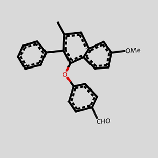 COc1ccc2c(Oc3ccc(C=O)cc3)c(-c3ccccc3)c(C)cc2c1